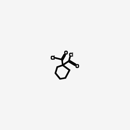 O=C(Cl)C1(C(=O)Cl)CCCCC1